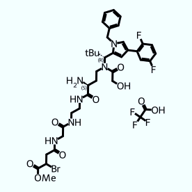 COC(=O)C(Br)CC(=O)NCC(=O)NCCNC(=O)[C@@H](N)CCN(C(=O)CO)[C@@H](c1cc(-c2cc(F)ccc2F)cn1Cc1ccccc1)C(C)(C)C.O=C(O)C(F)(F)F